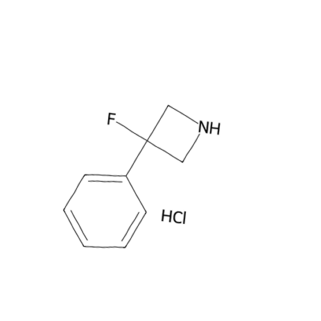 Cl.FC1(c2ccccc2)CNC1